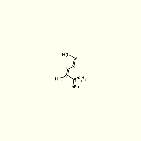 C=C(CCCC)/C(C)=C\C=C/C